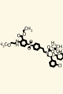 CCOC(=O)c1cc(S(=O)(=O)c2ccc(CCN(C[C@@H](OC3CCCCO3)c3cccc(Cl)c3)C(=O)OC(C)(C)C)cc2)ccc1NCCOC